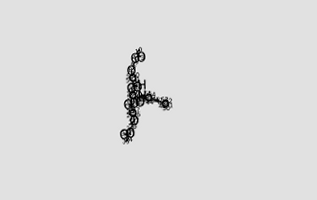 C=CC(=O)OCCCOc1ccc(C(=O)Oc2ccc(OC(=O)c3ccc(OCCCOC(=O)C=C)cc3)c(C(=O)Nc3ccc(C#Cc4ccccc4)cc3)c2)cc1